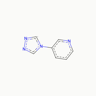 [c]1nncn1-c1cccnc1